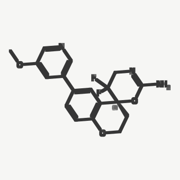 COc1cncc(-c2ccc3c(c2)[C@@]2(CCO3)OC(N)=NCC2(F)F)c1